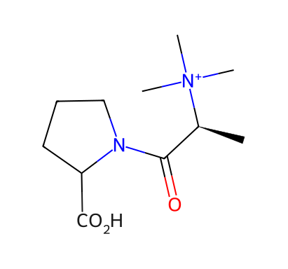 C[C@@H](C(=O)N1CCCC1C(=O)O)[N+](C)(C)C